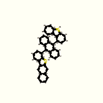 c1ccc2cc3c(cc2c1)sc1c(-c2c4ccccc4c(-c4cccc5sc6ccccc6c45)c4ccccc24)cccc13